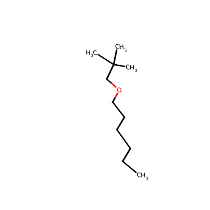 CCCCC[CH]OCC(C)(C)C